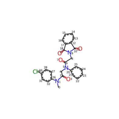 CN(C(=O)CN(C(=O)CN1C(=O)c2ccccc2C1=O)c1ccccc1)c1ccc(Cl)cc1